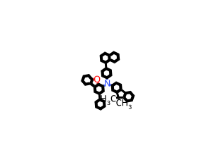 CC1(C)c2ccccc2-c2ccc(N(c3ccc(-c4cccc5ccccc45)cc3)c3cc(-c4ccccc4)cc4c3oc3ccccc34)cc21